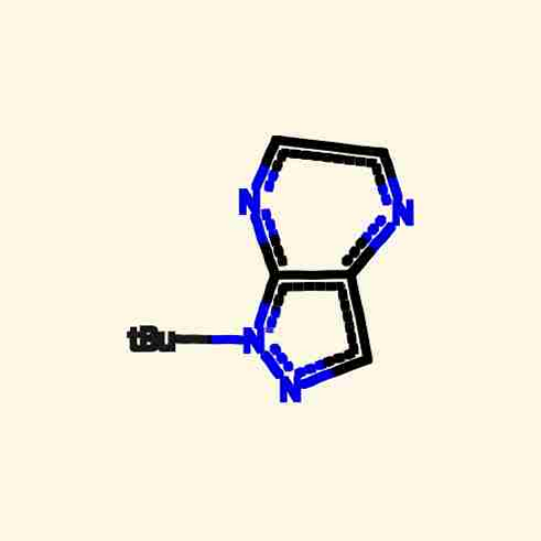 CC(C)(C)n1ncc2nccnc21